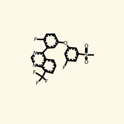 CS(=O)(=O)c1cc(F)cc(Oc2ccc(F)c(-c3ncnc4c(C(F)(F)F)cccc34)c2)c1